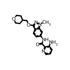 Cn1nc(OCC2CCOCC2)c2ccc(NC(=O)c3ncccc3N)cc21